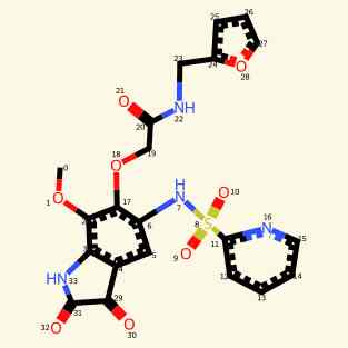 COc1c2c(cc(NS(=O)(=O)c3ccccn3)c1OCC(=O)NCc1ccco1)C(=O)C(=O)N2